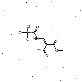 COC(=O)C(=CNC(=O)C(Cl)(Cl)Cl)C(C)=O